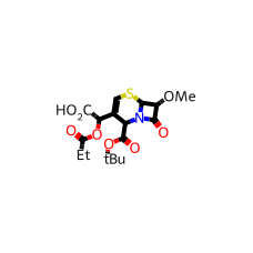 CCC(=O)OC(C(=O)O)C1=CSC2C(OC)C(=O)N2C1C(=O)OC(C)(C)C